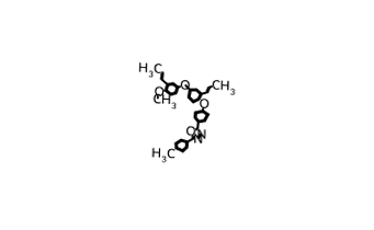 C/C=C/c1cc(Oc2ccc(Oc3ccc(-c4nnc(-c5ccc(C)cc5)o4)cc3)c(/C=C/C)c2)ccc1OC